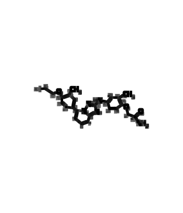 Cc1cc(-c2cccc3nc(Nc4ccc(OCC(N)=O)c(C)c4)nn23)ccc1OCCI